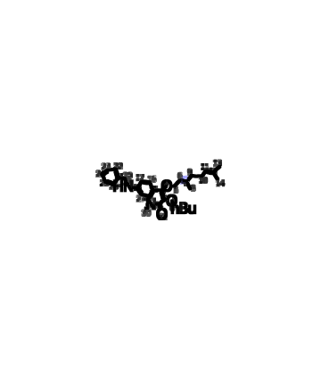 CCCCOc1c(OC/C=C(\C)CCC=C(C)C)c2ccc(NCc3ccccc3)cc2n(C)c1=O